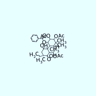 C=C[C@@]1(C)CC(=O)[C@H]2[C@](O)(C1=O)[C@H](OC(C)=O)C[C@H]1C(C)(C)[C@H](OC(C)=O)[C@H](OC(C)=O)[C@H](OC(=O)c3ccccc3)[C@@]12C